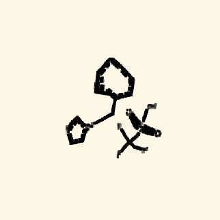 O=S(=O)(O)C(F)(F)F.c1ccc(Cn2ccnc2)cc1